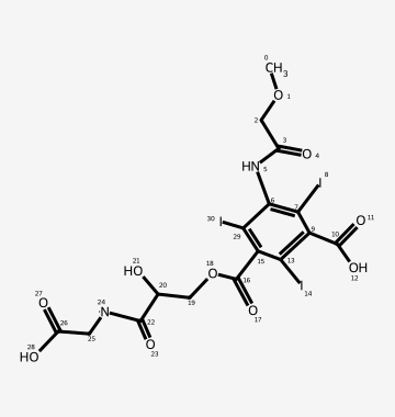 COCC(=O)Nc1c(I)c(C(=O)O)c(I)c(C(=O)OCC(O)C(=O)[N]CC(=O)O)c1I